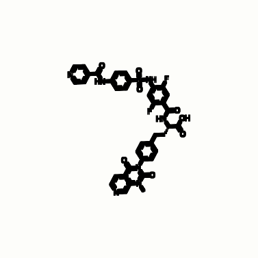 Cn1c(=O)n(-c2ccc(CC[C@H](NC(=O)c3cc(F)c(NS(=O)(=O)c4ccc(NC(=O)c5ccncc5)cc4)cc3F)C(=O)O)cc2)c(=O)c2ccncc21